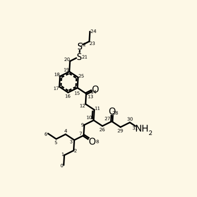 CCCC(CCC)C(=O)C/C(=C\CC(=O)c1cccc(CSSCC)c1)CC(=O)CCN